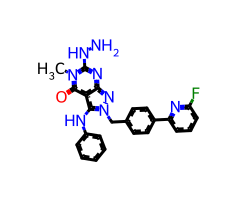 Cn1c(NN)nc2nn(Cc3ccc(-c4cccc(F)n4)cc3)c(Nc3ccccc3)c2c1=O